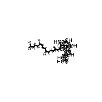 C/C(=C\C(=O)OP(=O)(O)OP(=O)(O)OP(=O)(O)OP(=O)(O)OP(=O)(O)OP(=O)(O)O)CCC[C@H](C)CCC[C@H](C)CCCC(C)C